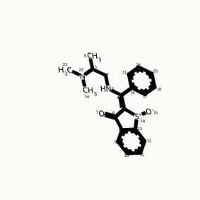 CC(CN/C(=C1\C(=O)c2ccccc2[S+]1[O-])c1ccccc1)N(C)C